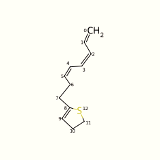 C=C/C=C\C=C/CCC1=CCCS1